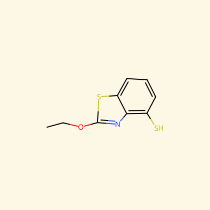 CCOc1nc2c(S)cccc2s1